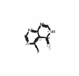 Cc1ncnc2nc[nH]c(=O)c12